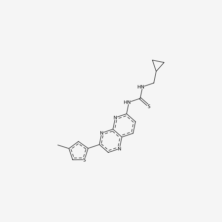 Cc1csc(-c2cnc3ccc(NC(=S)NCC4CC4)nc3n2)c1